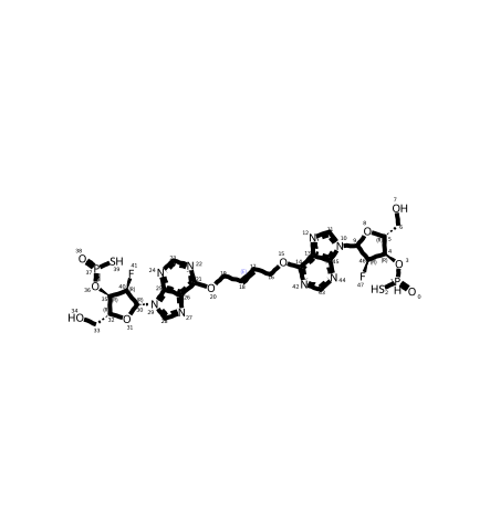 O=[PH](S)O[C@@H]1[C@@H](CO)OC(n2cnc3c(OC/C=C/COc4ncnc5c4ncn5[C@@H]4O[C@H](CO)[C@@H](O[PH](=O)S)[C@H]4F)ncnc32)[C@@H]1F